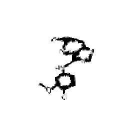 COc1cc(Nc2ncnc3ccc(Cl)nc23)ccc1Cl